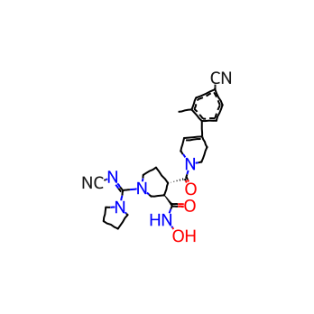 Cc1cc(C#N)ccc1C1=CCN(C(=O)[C@H]2CCN(C(=NC#N)N3CCCC3)C[C@@H]2C(=O)NO)CC1